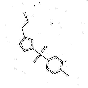 Cc1ccc(S(=O)(=O)n2ccc(CC=O)c2)cc1